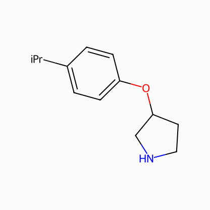 CC(C)c1ccc(OC2CCNC2)cc1